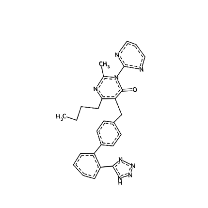 CCCCc1nc(C)n(-c2ncccn2)c(=O)c1Cc1ccc(-c2ccccc2-c2nnn[nH]2)cc1